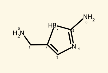 NCC1=CN=C(N)B1